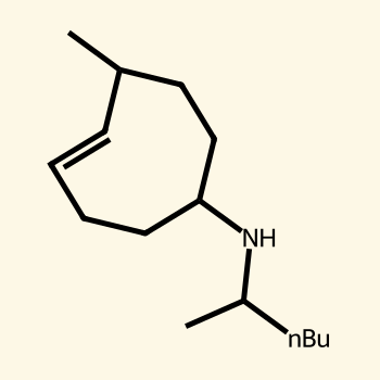 CCCCC(C)NC1CC/C=C/C(C)CC1